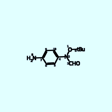 CC(C)(C)ON(C=O)c1ccc(N)cc1